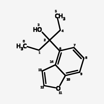 CCC(O)(CC)c1cccc2occc12